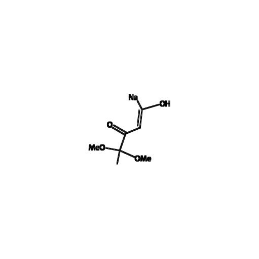 COC(C)(OC)C(=O)C=[C](O)[Na]